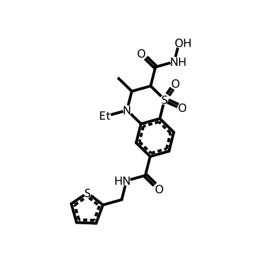 CCN1c2cc(C(=O)NCc3cccs3)ccc2S(=O)(=O)C(C(=O)NO)C1C